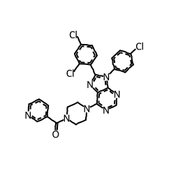 O=C(c1cccnc1)N1CCN(c2ncnc3c2nc(-c2ccc(Cl)cc2Cl)n3-c2ccc(Cl)cc2)CC1